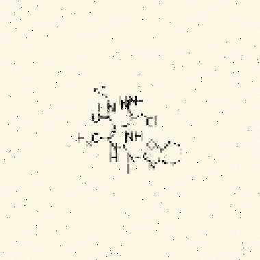 CC1=C(C(=O)NC2CC2)C(c2n[nH]cc2Cl)NC(Nc2nc3ccccc3o2)N1